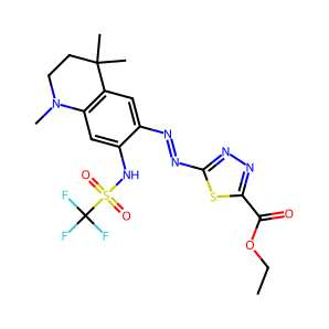 CCOC(=O)c1nnc(N=Nc2cc3c(cc2NS(=O)(=O)C(F)(F)F)N(C)CCC3(C)C)s1